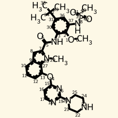 COc1c(NC(=O)c2cc3cccc(Oc4ccnc(N5CCNCC5)n4)c3n2C)cc(C(C)(C)C)cc1NS(C)(=O)=O